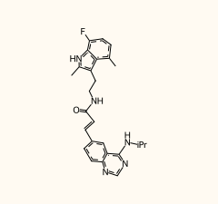 Cc1[nH]c2c(F)ccc(C)c2c1CCNC(=O)C=Cc1ccc2ncnc(NC(C)C)c2c1